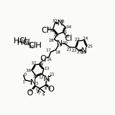 CCN1C(=O)C(C)(C)C(=O)N(C)c2cc(OCCCN(CCc3cccnc3)Cc3c(Cl)cncc3Cl)ccc21.Cl.Cl.Cl